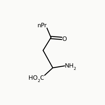 CCCC(=O)CC(N)C(=O)O